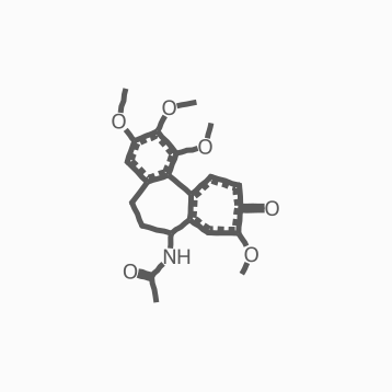 COc1cc2c(c(OC)c1OC)-c1ccc(=O)c(OC)cc1C(NC(C)=O)CC2